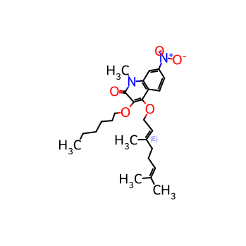 CCCCCCOc1c(OC/C=C(\C)CCC=C(C)C)c2ccc([N+](=O)[O-])cc2n(C)c1=O